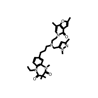 CCN1C(=O)C(C)(C)C(=O)N(C)c2cc(CCCN(CCn3cc(C)c4oc(C)cc4c3=O)Cc3cc(C)nn3C)ccc21